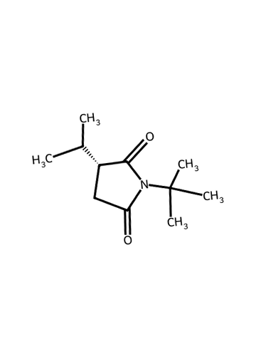 CC(C)[C@H]1CC(=O)N(C(C)(C)C)C1=O